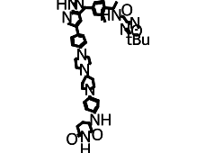 Cc1cc(-c2n[nH]c3ncc(-c4ccc(N5CCN(C6CCN(c7ccc(NC8CCC(=O)NC8=O)cc7)CC6)CC5)cc4)cc23)ccc1C(C)NC(=O)c1noc(C(C)(C)C)n1